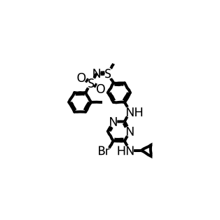 Cc1ccccc1S(=O)(=O)N=S(C)c1ccc(Nc2ncc(Br)c(NC3CC3)n2)cc1